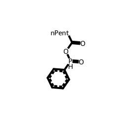 CCCCCC(=O)O[PH](=O)c1ccccc1